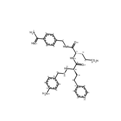 N=C(N)c1ccc(CNC(=O)[C@H](CCC(=O)O)NC(=O)[C@@H](CCc2ccncc2)NSCc2ccc(N)cc2)cc1